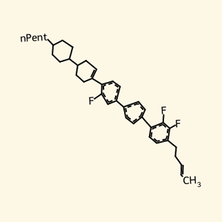 C/C=C/CCc1ccc(-c2ccc(-c3ccc(C4=CCC(C5CCC(CCCCC)CC5)CC4)c(F)c3)cc2)c(F)c1F